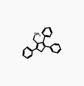 [SiH3]CC1=C(c2ccccc2)CC(c2ccccc2)=C1c1ccccc1